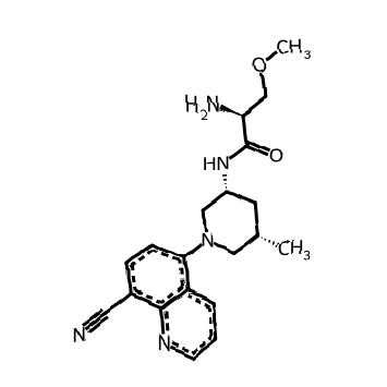 COC[C@H](N)C(=O)N[C@@H]1C[C@H](C)CN(c2ccc(C#N)c3ncccc23)C1